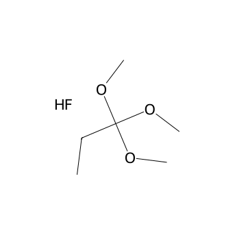 CCC(OC)(OC)OC.F